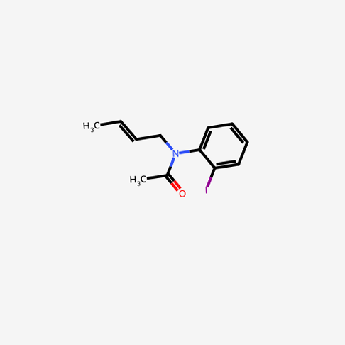 CC=CCN(C(C)=O)c1ccccc1I